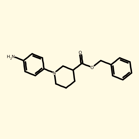 Nc1ccc(N2CCCC(C(=O)OCc3ccccc3)C2)cc1